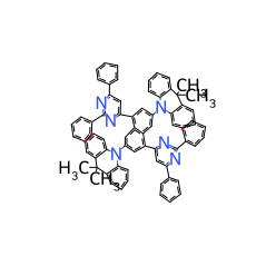 CC1(C)c2ccccc2N(c2cc(-c3cc(-c4ccccc4)nc(-c4ccccc4)n3)c3cc(N4c5ccccc5C(C)(C)c5ccccc54)cc(-c4cc(-c5ccccc5)nc(-c5ccccc5)n4)c3c2)c2ccccc21